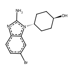 Nc1nc2ccc(Br)cc2n1[C@H]1CC[C@H](O)CC1